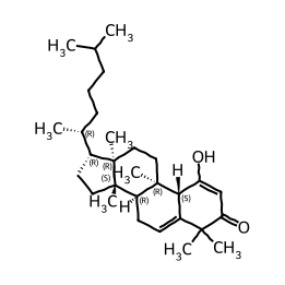 CC(C)CCC[C@@H](C)[C@H]1CC[C@@]2(C)[C@@H]3CC=C4[C@@H](C(O)=CC(=O)C4(C)C)[C@]3(C)CC[C@]12C